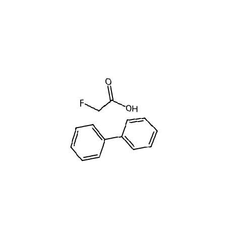 O=C(O)CF.c1ccc(-c2ccccc2)cc1